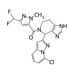 Cn1nc(C(F)F)cc1C(=O)N1CCc2[nH]cnc2C1c1cc2cccc(Cl)n2n1